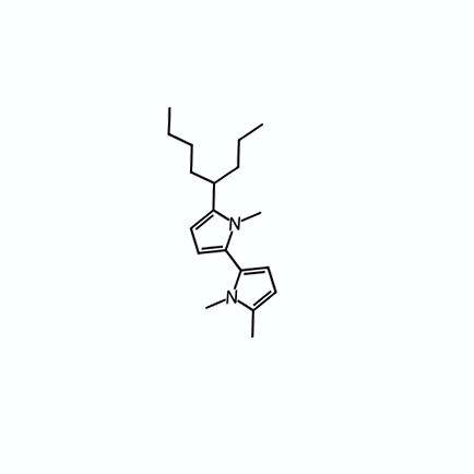 CCCCC(CCC)c1ccc(-c2ccc(C)n2C)n1C